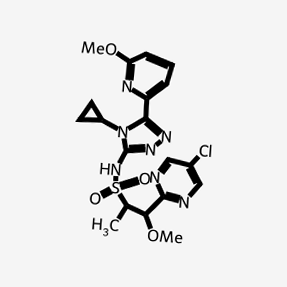 COc1cccc(-c2nnc(NS(=O)(=O)C(C)C(OC)c3ncc(Cl)cn3)n2C2CC2)n1